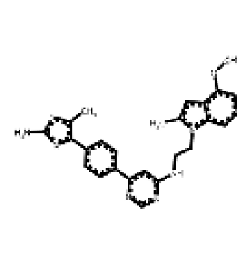 COc1cccc2c1cc(C)n2CCNc1cc(-c2ccc(-c3nc(N)sc3C)cc2)ncn1